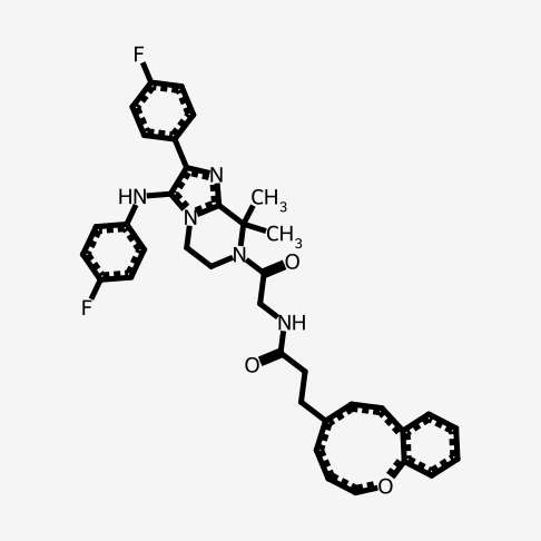 CC1(C)c2nc(-c3ccc(F)cc3)c(Nc3ccc(F)cc3)n2CCN1C(=O)CNC(=O)CCc1cccoc2ccccc2cc1